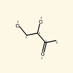 CC(=O)C(Cl)CCl